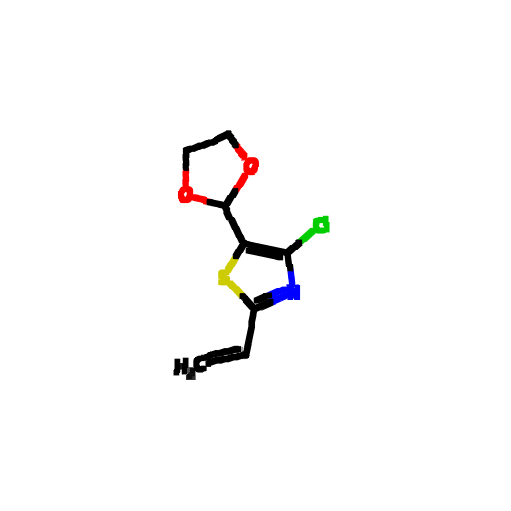 C=Cc1nc(Cl)c(C2OCCO2)s1